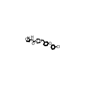 O=C(Nc1ccon1)N1CCN(Cc2cccc(Oc3cccc(Cl)c3)c2)CC1